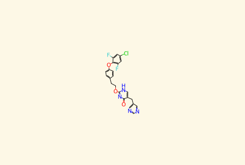 O=c1nc(OCCc2ccc(Oc3c(F)cc(Cl)cc3F)cc2)[nH]cc1Cc1cncnc1